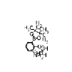 [2H]C([2H])([2H])Oc1c(N)cccc1B1OC(C)(C)C(C)(C)O1